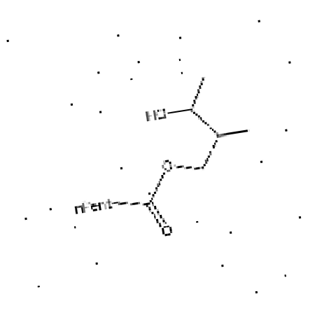 CCCCCC(=O)OCC(C)C(C)O